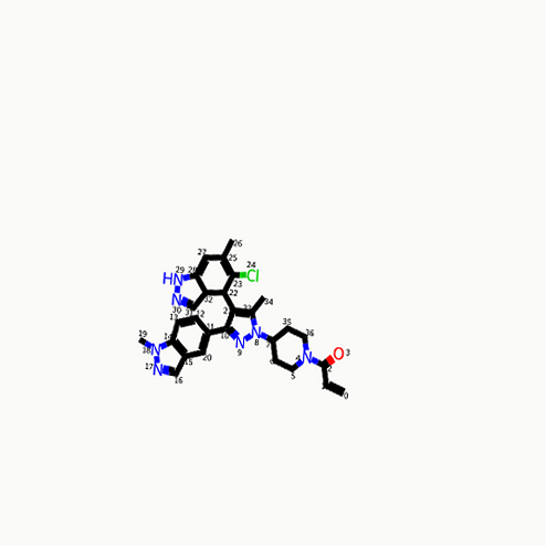 C=CC(=O)N1CCC(n2nc(-c3ccc4c(cnn4C)c3)c(C3C(Cl)=C(C)C=C4NN=CC43)c2C)CC1